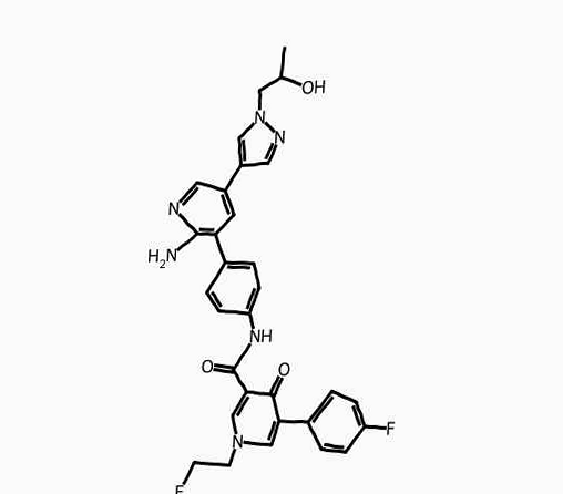 CC(O)Cn1cc(-c2cnc(N)c(-c3ccc(NC(=O)c4cn(CCF)cc(-c5ccc(F)cc5)c4=O)cc3)c2)cn1